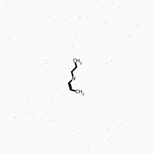 C/C=C\[N]CCC